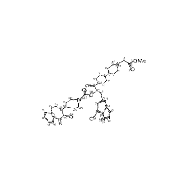 COC(=O)CN1CCN(C2CCN(C(=O)[C@@H](Cc3cc(Cl)c4[nH]ncc4c3)OC(=O)N3CCC(N4CCc5ccccc5NC4=O)CC3)CC2)CC1